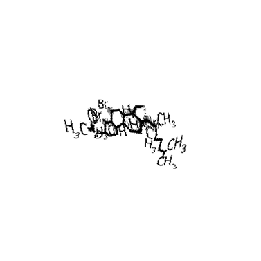 CC(=O)OC1CC[C@@]2(C)C([C@@H]1Br)[C@H](Br)C[C@H]1[C@@H]3CC[C@H]([C@H](C)CCCC(C)C)[C@@]3(C)CC[C@@H]12